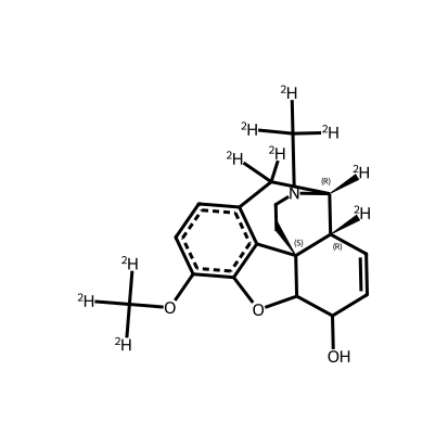 [2H]C([2H])([2H])Oc1ccc2c3c1OC1C(O)C=C[C@]4([2H])[C@@]31CCN(C([2H])([2H])[2H])[C@]4([2H])C2([2H])[2H]